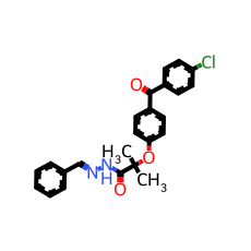 CC(C)(Oc1ccc(C(=O)c2ccc(Cl)cc2)cc1)C(=O)N/N=C/c1ccccc1